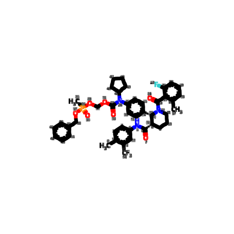 Cc1ccc(NC(=O)[C@H]2CCCN(C(=O)c3c(C)cccc3F)[C@H]2c2ccc(N(C(=O)OCOP(C)(=O)OCc3ccccc3)C3CCCC3)cc2)cc1C(F)(F)F